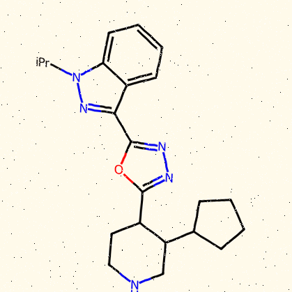 CC(C)n1nc(-c2nnc(C3CCNCC3C3CCCC3)o2)c2ccccc21